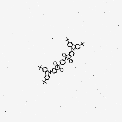 CC(C)(C)c1ccc2c(c1)c1cc(C(C)(C)C)ccc1n2-c1ccc2c(c1)C(=O)N(c1ccc(N3C(=O)c4ccc(-n5c6ccc(C(C)(C)C)cc6c6cc(C(C)(C)C)ccc65)cc4C3=O)cc1)C2=O